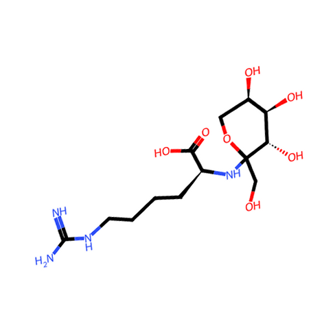 N=C(N)NCCCC[C@H](NC1(CO)OC[C@@H](O)[C@@H](O)[C@@H]1O)C(=O)O